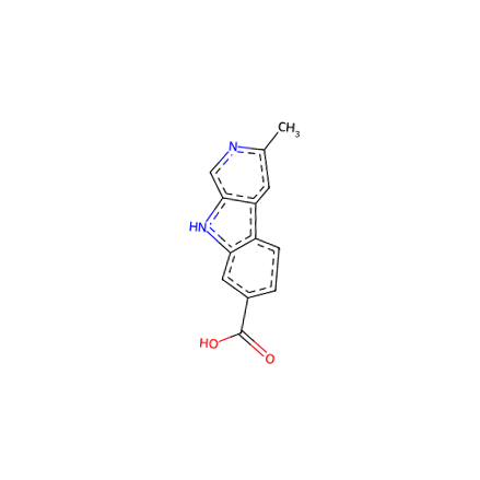 Cc1cc2c(cn1)[nH]c1cc(C(=O)O)ccc12